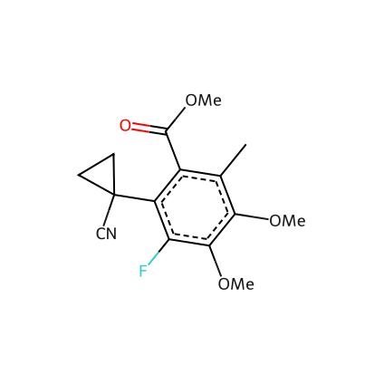 COC(=O)c1c(C)c(OC)c(OC)c(F)c1C1(C#N)CC1